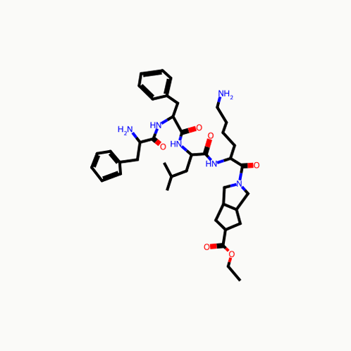 CCOC(=O)C1CC2CN(C(=O)C(CCCCN)NC(=O)C(CC(C)C)NC(=O)C(Cc3ccccc3)NC(=O)C(N)Cc3ccccc3)CC2C1